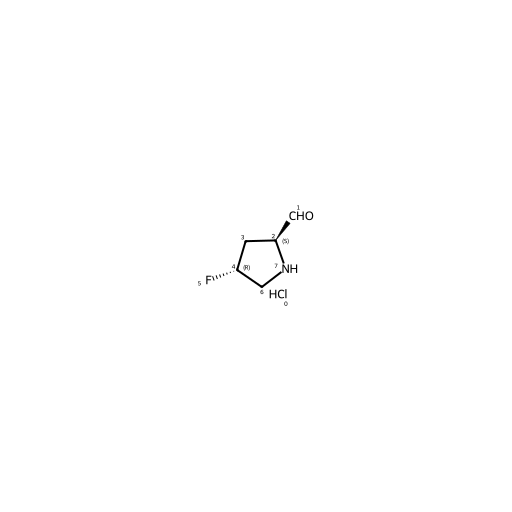 Cl.O=C[C@@H]1C[C@@H](F)CN1